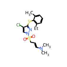 CCc1cccc(C)c1Sc1nn(S(=O)(=O)CC=CN(C)C)cc1Cl